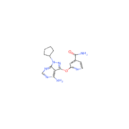 NC(=O)c1ccnc(Oc2nn(C3CCCC3)c3ncnc(N)c23)c1